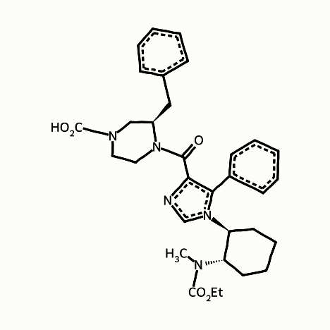 CCOC(=O)N(C)[C@H]1CCCC[C@@H]1n1cnc(C(=O)N2CCN(C(=O)O)C[C@H]2Cc2ccccc2)c1-c1ccccc1